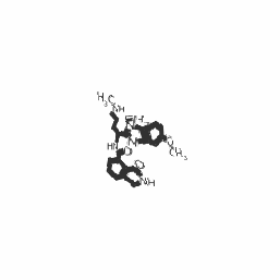 CNCCCC(NC(=O)c1cccc2c1C(=O)NC2)c1nc2cc(OC)ccc2n1C